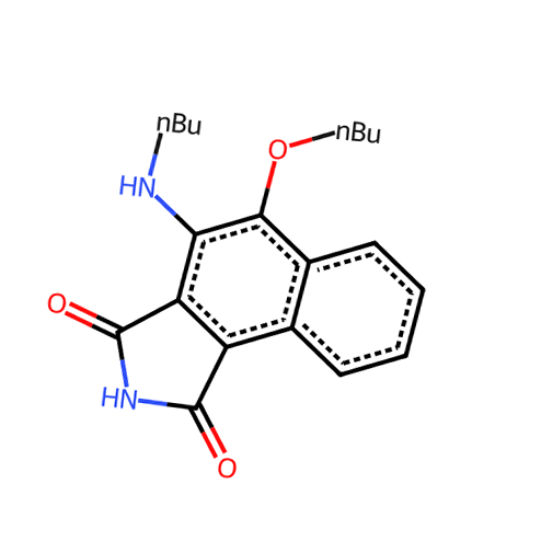 CCCCNc1c2c(c3ccccc3c1OCCCC)C(=O)NC2=O